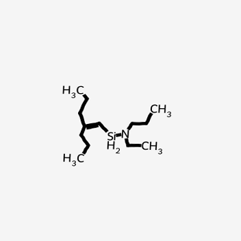 CCCC(=C[SiH2]N(CC)CCC)CCC